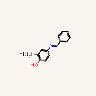 CCOC(=O)c1cc(N=Cc2ccccc2)ccc1O